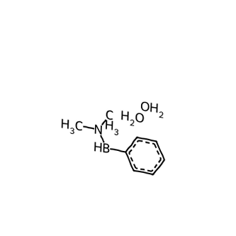 CN(C)Bc1ccccc1.O.O